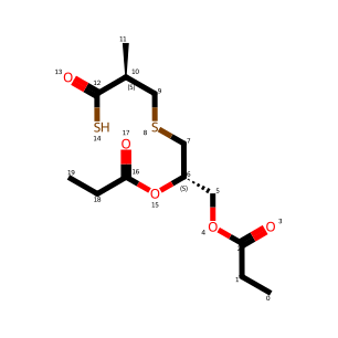 CCC(=O)OC[C@@H](CSC[C@H](C)C(=O)S)OC(=O)CC